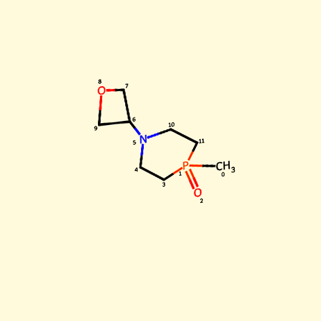 CP1(=O)CCN(C2COC2)CC1